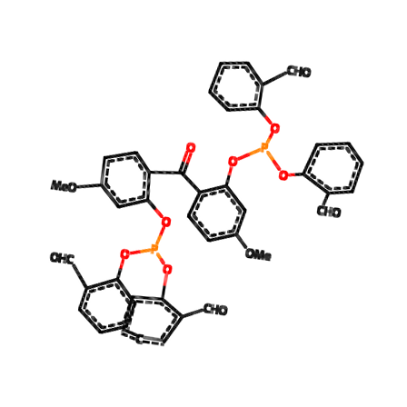 COc1ccc(C(=O)c2ccc(OC)cc2OP(Oc2ccccc2C=O)Oc2ccccc2C=O)c(OP(Oc2ccccc2C=O)Oc2ccccc2C=O)c1